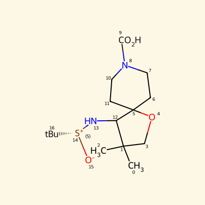 CC1(C)COC2(CCN(C(=O)O)CC2)C1N[S@+]([O-])C(C)(C)C